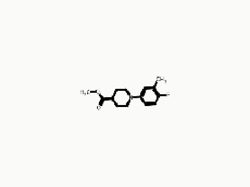 COC(=O)C1CCN(c2ccc(F)c(C)c2)CC1